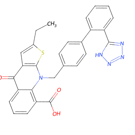 CCc1cc2c(=O)c3cccc(C(=O)O)c3n(Cc3ccc(-c4ccccc4-c4nnn[nH]4)cc3)c2s1